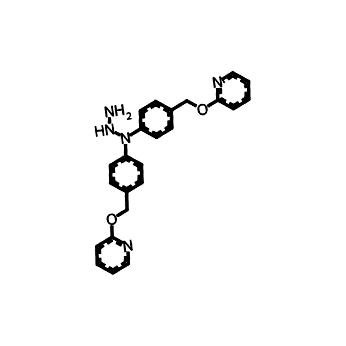 NNN(c1ccc(COc2ccccn2)cc1)c1ccc(COc2ccccn2)cc1